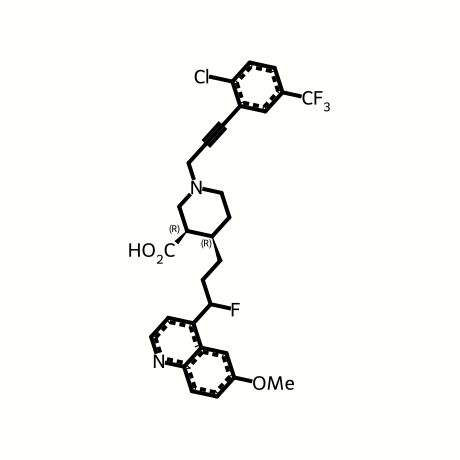 COc1ccc2nccc(C(F)CC[C@@H]3CCN(CC#Cc4cc(C(F)(F)F)ccc4Cl)C[C@@H]3C(=O)O)c2c1